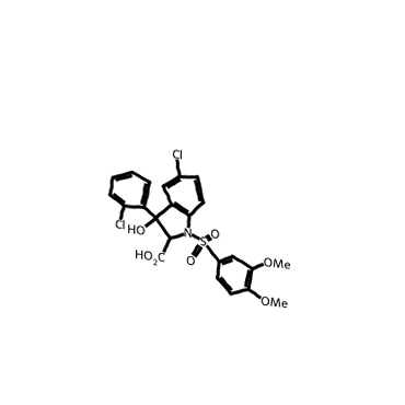 COc1ccc(S(=O)(=O)N2c3ccc(Cl)cc3C(O)(c3ccccc3Cl)C2C(=O)O)cc1OC